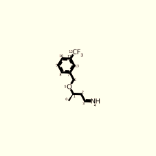 C[C@H](CC=N)OCc1cccc(C(F)(F)F)c1